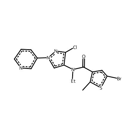 CCN(C(=O)c1cc(Br)sc1C)c1cn(-c2cccnc2)nc1Cl